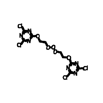 Clc1nc(Cl)nc(OCCOOOCCOc2nc(Cl)nc(Cl)n2)n1